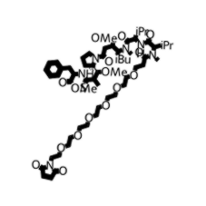 CCC(C)C(C(CC(=O)N1CCC[C@H]1C(OC)C(C)C(=S)NC(Cc1ccccc1)C(=O)OC)OC)N(C)C(=O)C(NC(=O)C(C(C)C)N(C)C(=O)CCOCCOCCOCCOCCOCCOCCN1C(=O)C=CC1=O)C(C)C